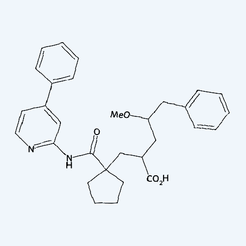 COC(Cc1ccccc1)CC(CC1(C(=O)Nc2cc(-c3ccccc3)ccn2)CCCC1)C(=O)O